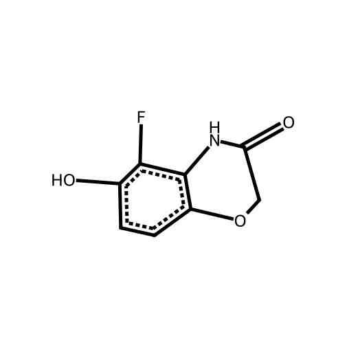 O=C1COc2ccc(O)c(F)c2N1